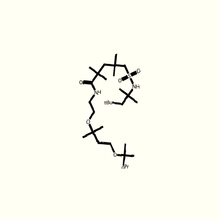 CCCC(C)(C)OCCC(C)(C)OCCNC(=O)C(C)(C)CC(C)(C)CS(=O)(=O)NC(C)(C)CC(C)(C)C